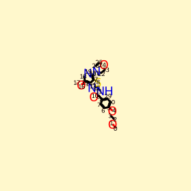 COCCOc1ccc(C(=O)Nc2nc3c(OC)cnc(N4CCOCC4)c3s2)cc1